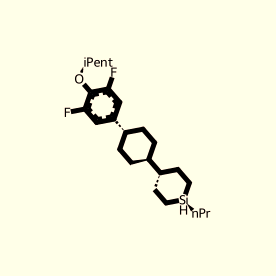 CCC[C@@H](C)Oc1c(F)cc([C@H]2CC[C@H]([C@H]3CC[Si@H](CCC)CC3)CC2)cc1F